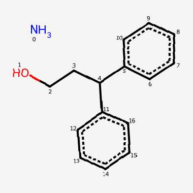 N.OCCC(c1ccccc1)c1ccccc1